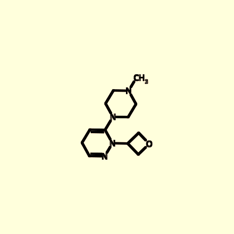 CN1CCN(C2=CCC=NN2C2COC2)CC1